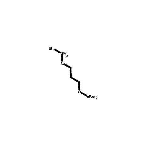 CCCCCOCCCO[SiH2]C(C)(C)C